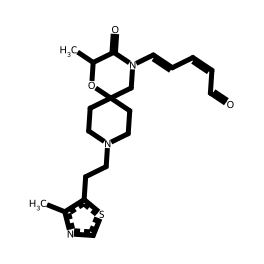 Cc1ncsc1CCN1CCC2(CC1)CN(/C=C/C=C\C=O)C(=O)C(C)O2